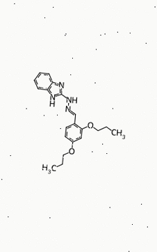 CCCOc1ccc(/C=N/Nc2nc3ccccc3[nH]2)c(OCCC)c1